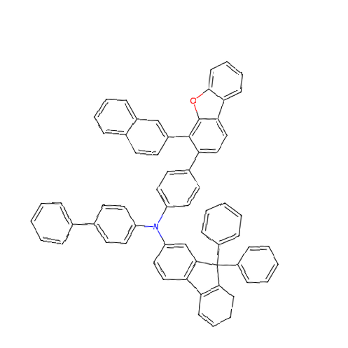 C1=CC2=C(CC1)C(c1ccccc1)(c1ccccc1)c1cc(N(c3ccc(-c4ccccc4)cc3)c3ccc(-c4ccc5c(oc6ccccc65)c4-c4ccc5ccccc5c4)cc3)ccc12